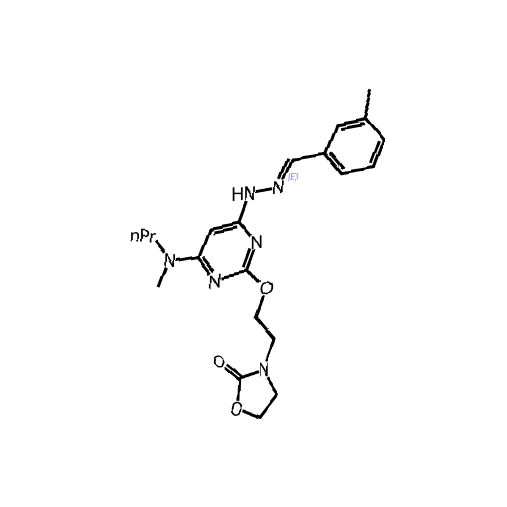 CCCN(C)c1cc(N/N=C/c2cccc(C)c2)nc(OCCN2CCOC2=O)n1